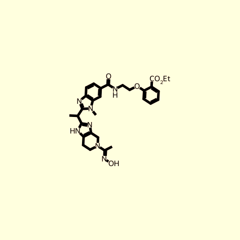 CCOC(=O)c1ccccc1OCCNC(=O)c1ccc2nc(C(C)c3nc4c([nH]3)CCN(/C(C)=N/O)C4)n(C)c2c1